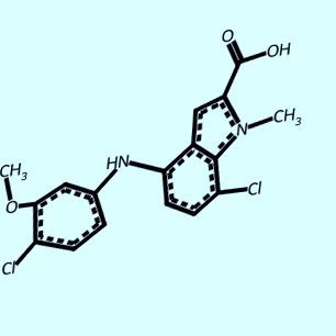 COc1cc(Nc2ccc(Cl)c3c2cc(C(=O)O)n3C)ccc1Cl